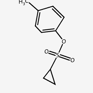 Cc1ccc(OS(=O)(=O)C2CC2)cc1